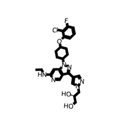 CCNc1cc2c(cn1)c(-c1cnn(C[C@@H](O)CO)c1)nn2C1CCC(Oc2cccc(F)c2Cl)CC1